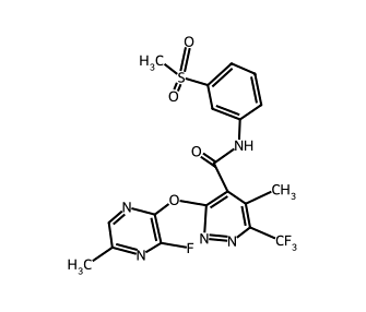 Cc1cnc(Oc2nnc(C(F)(F)F)c(C)c2C(=O)Nc2cccc(S(C)(=O)=O)c2)c(F)n1